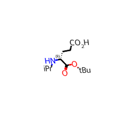 CC(C)N[C@H](CCC(=O)O)C(=O)OC(C)(C)C